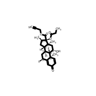 C#CCOC(=O)[C@@]1(OC(=O)CC)[C@H](C)C[C@H]2[C@@H]3C[C@H](F)C4=CC(=O)C=C[C@]4(C)[C@@]3(F)[C@@H](O)C[C@@]21C